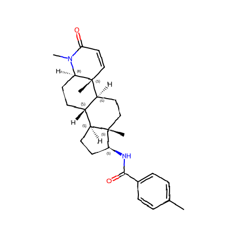 Cc1ccc(C(=O)N[C@H]2CC[C@H]3[C@@H]4CC[C@H]5N(C)C(=O)C=C[C@]5(C)[C@H]4CC[C@]23C)cc1